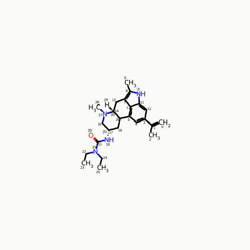 C=C(C)c1cc2c3c(c(C)[nH]c3c1)C[C@@H]1C2C[C@H](NC(=O)N(CC)CC)CN1C